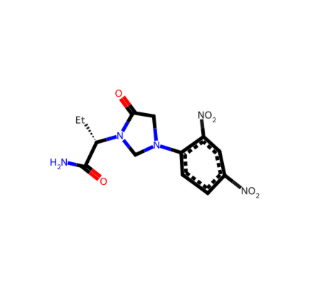 CC[C@@H](C(N)=O)N1CN(c2ccc([N+](=O)[O-])cc2[N+](=O)[O-])CC1=O